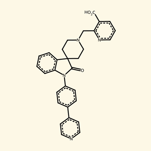 O=C(O)c1cccnc1CN1CCC2(CC1)C(=O)N(c1ccc(-c3ccncc3)cc1)c1ccccc12